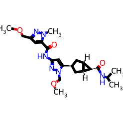 COCc1cc(C(=O)Nc2cc([C@H]3C[C@@H]4[C@H](C3)[C@H]4C(=O)NC(C)C)n(COC)n2)n(C)n1